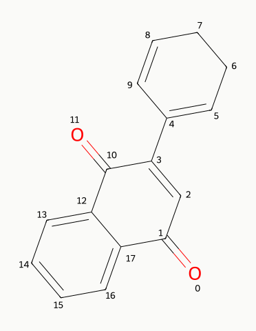 O=C1C=C(C2=CCCC=C2)C(=O)c2ccccc21